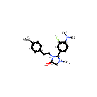 CCN(CC)c1ccc(C2N(C)CC(=O)N2CCc2ccc(OC)cc2)cc1F